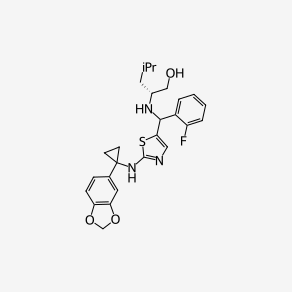 CC(C)C[C@H](CO)NC(c1cnc(NC2(c3ccc4c(c3)OCO4)CC2)s1)c1ccccc1F